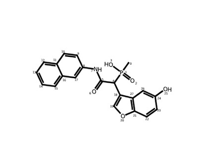 CP(=O)(O)C(C(=O)Nc1ccc2ccccc2c1)c1coc2ccc(O)cc12